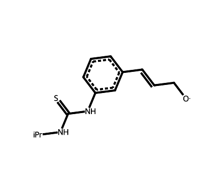 CC(C)NC(=S)Nc1cccc(/C=C/C[O])c1